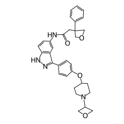 O=C(CC1(c2ccccc2)COC1)Nc1ccc2[nH]nc(-c3ccc(OC4CCN(C5COC5)CC4)cc3)c2c1